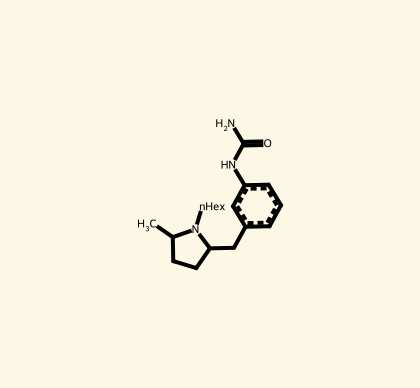 CCCCCCN1C(C)CCC1Cc1cccc(NC(N)=O)c1